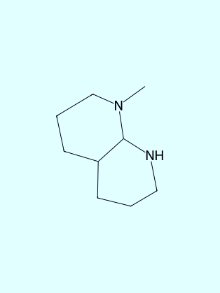 CN1CCCC2CCCNC21